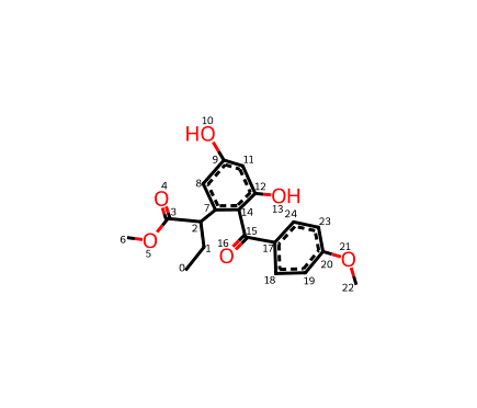 CCC(C(=O)OC)c1cc(O)cc(O)c1C(=O)c1ccc(OC)cc1